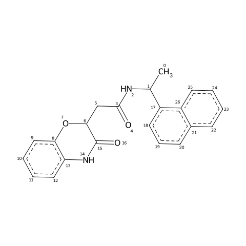 CC(NC(=O)CC1Oc2ccccc2NC1=O)c1cccc2ccccc12